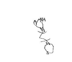 CC(C)(CCC(C)(C)N1CNCOC1)N1CCSCC1